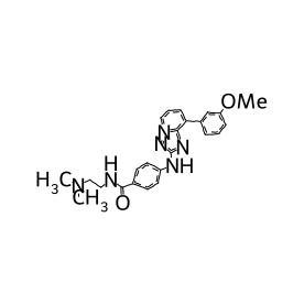 COc1cccc(-c2cccn3nc(Nc4ccc(C(=O)NCCN(C)C)cc4)nc23)c1